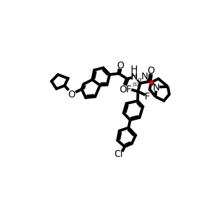 NC1CC2CCC(C1)N2C(=O)[C@H](NC(=O)C(=O)c1ccc2cc(OC3CCCC3)ccc2c1)C(F)(F)c1ccc(-c2ccc(Cl)cc2)cc1